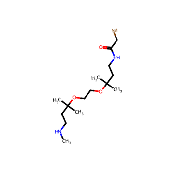 CNCCC(C)(C)OCCOC(C)(C)CCNC(=O)CS